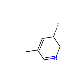 CC1=CC(F)CN=C1